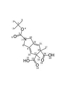 CC(C)(C)OC(=O)N1CC2=CC(C)(C(=O)O)C(C)(C(=O)O)C=C2C1